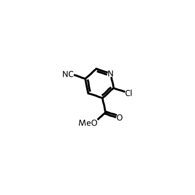 COC(=O)c1cc(C#N)cnc1Cl